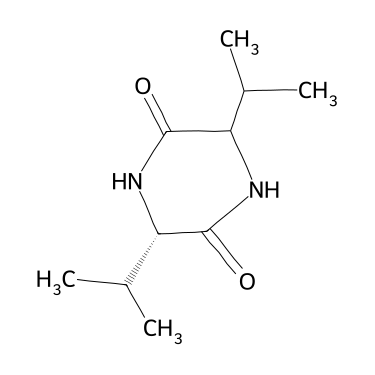 CC(C)C1NC(=O)[C@H](C(C)C)NC1=O